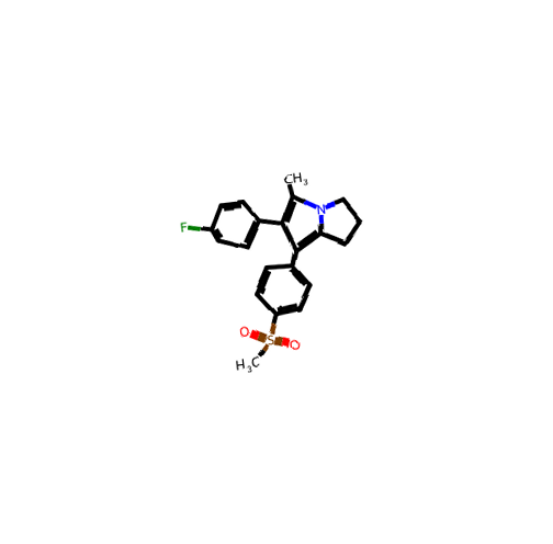 Cc1c(-c2ccc(F)cc2)c(-c2ccc(S(C)(=O)=O)cc2)c2n1CCC2